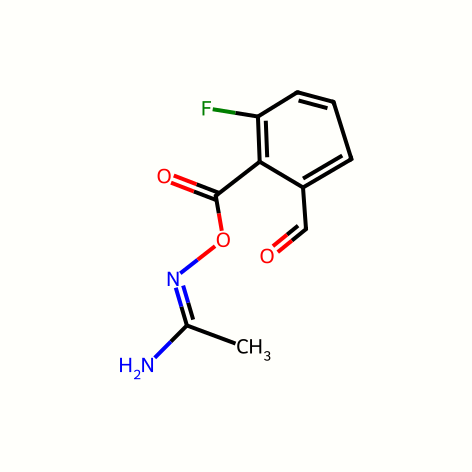 C/C(N)=N\OC(=O)c1c(F)cccc1C=O